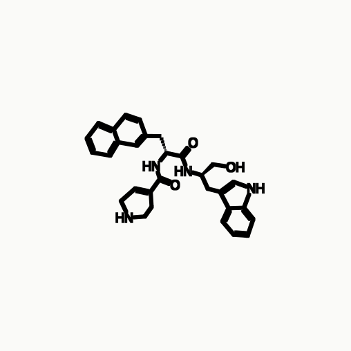 O=C(N[C@H](Cc1ccc2ccccc2c1)C(=O)N[C@@H](CO)Cc1c[nH]c2ccccc12)C1=CCNCC1